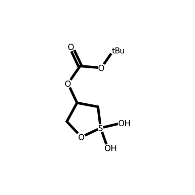 CC(C)(C)OC(=O)OC1COS(O)(O)C1